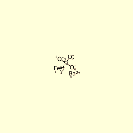 [Ba+2].[Fe+2].[O-][Si]([O-])([O-])[O-]